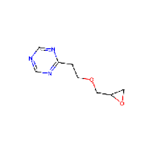 c1ncnc(CCOCC2CO2)n1